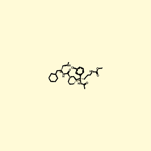 CNC[C@H](CC1CCCCC1)NC(=O)N1CCC[C@@H]([C@](CCCNC(=O)OC)(NC(C)=O)c2cccc(Cl)c2)C1